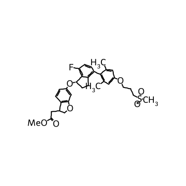 COC(=O)CC1COc2cc(O[C@@H]3CCc4c(-c5c(C)cc(OCCCS(C)(=O)=O)cc5C)ccc(F)c43)ccc21